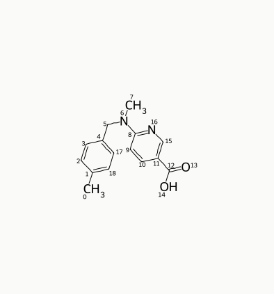 Cc1ccc(CN(C)c2ccc(C(=O)O)cn2)cc1